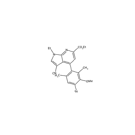 [2H]c1cc(C)c(-c2cc(C(=O)OCC)nc3c2c(C#N)cn3CC)c(C)c1OC